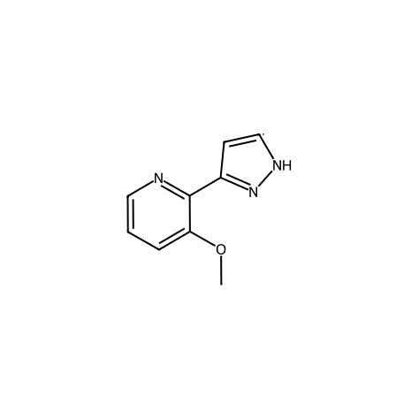 COc1cccnc1-c1c[c][nH]n1